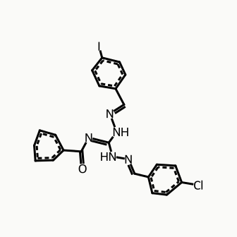 O=C(/N=C(\N/N=C/c1ccc(Cl)cc1)N/N=C/c1ccc(I)cc1)c1ccccc1